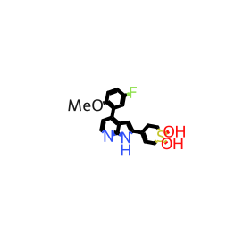 COc1ccc(F)cc1-c1ccnc2[nH]c(C3=CCS(O)(O)CC3)cc12